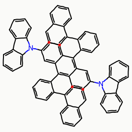 c1ccc(-c2c3ccc(-n4c5ccccc5c5ccccc54)cc3c(-c3ccccc3-c3cccc4ccccc34)c3ccc(-n4c5ccccc5c5ccccc54)cc23)c(-c2cccc3ccccc23)c1